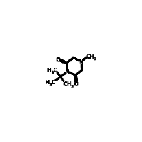 CN1CC(=O)N(C(C)(C)C)C(=O)C1